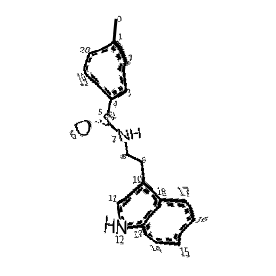 Cc1ccc([S@+]([O-])NCCc2c[nH]c3ccccc23)cc1